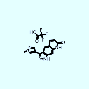 Cn1cc(-c2n[nH]c3cc4[nH]c(=O)ccc4cc23)cn1.O=C(O)C(F)(F)F